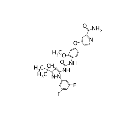 COc1cc(Oc2ccnc(C(N)=O)c2)ccc1NC(=O)Nc1cc(C(C)(C)C)nn1-c1cc(F)cc(F)c1